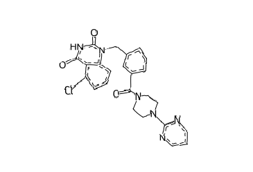 O=C(c1cccc(Cn2c(=O)[nH]c(=O)c3c(Cl)cccc32)c1)N1CCN(c2ncccn2)CC1